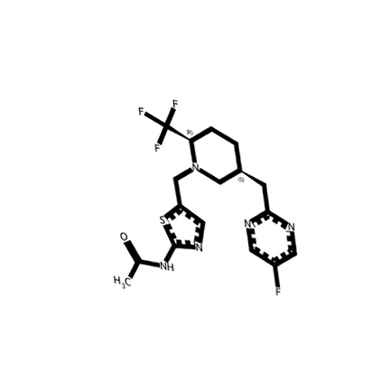 CC(=O)Nc1ncc(CN2C[C@H](Cc3ncc(F)cn3)CC[C@@H]2C(F)(F)F)s1